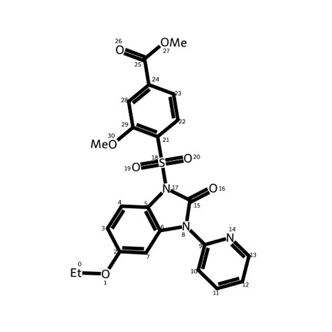 CCOc1ccc2c(c1)n(-c1ccccn1)c(=O)n2S(=O)(=O)c1ccc(C(=O)OC)cc1OC